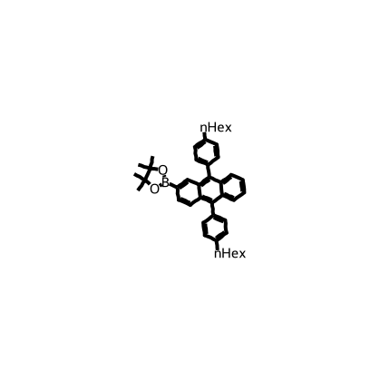 CCCCCCc1ccc(-c2c3ccccc3c(-c3ccc(CCCCCC)cc3)c3cc(B4OC(C)(C)C(C)(C)O4)ccc23)cc1